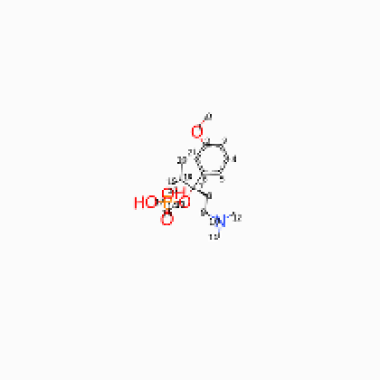 COc1cccc([C@](CCN(C)C)(OP(=O)(O)O)C(C)C)c1